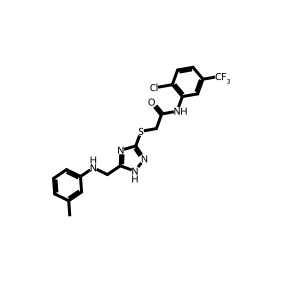 Cc1cccc(NCc2nc(SCC(=O)Nc3cc(C(F)(F)F)ccc3Cl)n[nH]2)c1